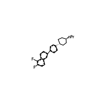 CCC[C@H]1CC[C@H](c2ccc(-c3ccc4c(F)c(F)ccc4c3)cc2)CC1